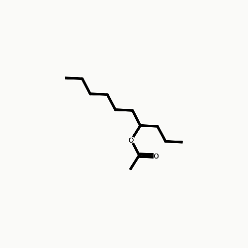 CCCCCCC(CCC)OC(C)=O